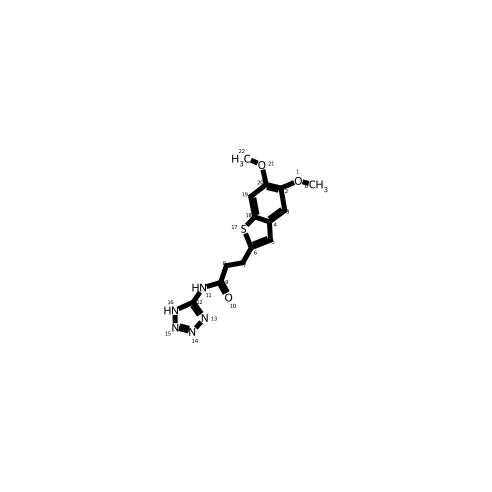 COc1cc2cc(CCC(=O)Nc3nnn[nH]3)sc2cc1OC